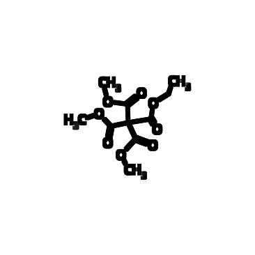 CCOC(=O)C(C(=O)OC)(C(=O)OC)C(=O)OC